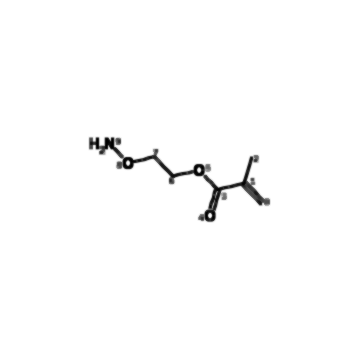 C=C(C)C(=O)OCCON